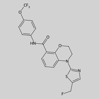 O=C(Nc1ccc(OC(F)(F)F)cc1)c1cccc2c1OCCN2c1ncc(CF)s1